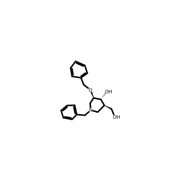 OC[C@H]1CN(Cc2ccccc2)C[C@@H](OCc2ccccc2)[C@@H]1O